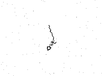 CCCCCCCCCOP(=O)(CC)OOc1ccccc1